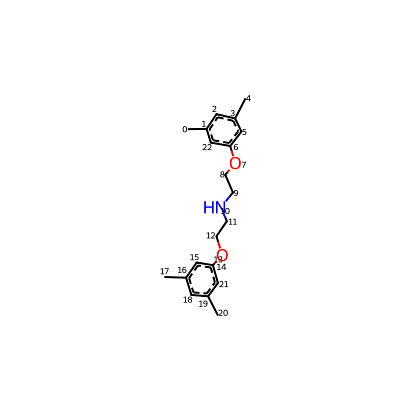 Cc1cc(C)cc(OCCNCCOc2cc(C)cc(C)c2)c1